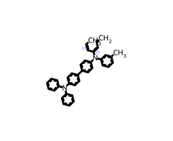 C=C/C=C(\C=C/C)N(c1ccc(-c2ccc(N(c3ccccc3)c3ccccc3)cc2)cc1)c1cccc(C)c1